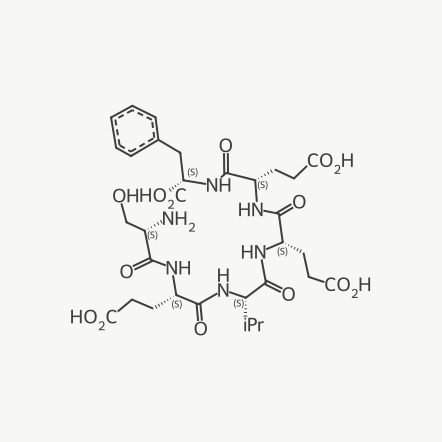 CC(C)[C@H](NC(=O)[C@H](CCC(=O)O)NC(=O)[C@@H](N)CO)C(=O)N[C@@H](CCC(=O)O)C(=O)N[C@@H](CCC(=O)O)C(=O)N[C@@H](Cc1ccccc1)C(=O)O